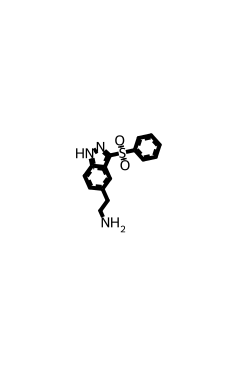 NCCc1ccc2[nH]nc(S(=O)(=O)c3ccccc3)c2c1